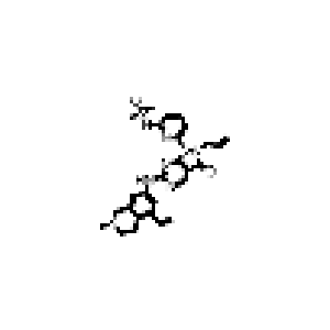 C=CCn1c(=O)c2cnc(Nc3cc(C=C)c4c(c3)CN(C)CC4)nc2n1-c1cccc(N=S(C)(C)=O)n1